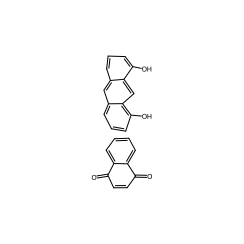 O=C1C=CC(=O)c2ccccc21.Oc1cccc2cc3cccc(O)c3cc12